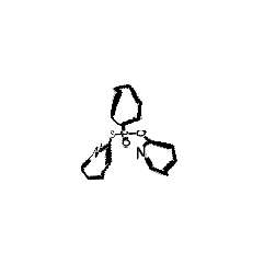 O=P(Oc1ccccn1)(Sc1ccccn1)c1ccccc1